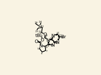 CC(C)(C)OC(=O)N1CCCC1c1nc2nc(Br)cnc2n1COCC[Si](C)(C)C